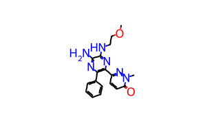 COCCNc1nc(-c2ccc(=O)n(C)n2)c(-c2ccccc2)nc1N